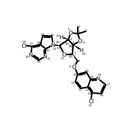 CC1(C)O[C@@H]2[C@H](O1)[C@@H](COc1ccc3c(Cl)ccnc3c1)O[C@H]2n1ccc2c(Cl)ncnc21